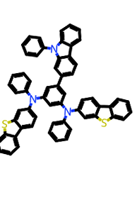 c1ccc(N(c2cc(-c3ccc4c5ccccc5n(-c5ccccc5)c4c3)cc(N(c3ccccc3)c3ccc4c(c3)sc3ccccc34)c2)c2ccc3c(c2)sc2ccccc23)cc1